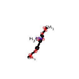 C=CC(=O)OCCCCOc1ccc(C#Cc2ccc(NC(=O)c3ccc(OCCCCOC(=O)C=C)cc3)c(OC)c2)cc1